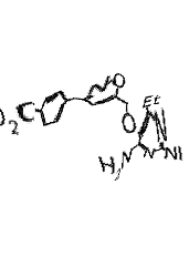 CCc1nc(N)nc(N)c1OCc1cc(-c2ccc(C(=O)O)cc2)no1